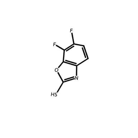 Fc1ccc2nc(S)oc2c1F